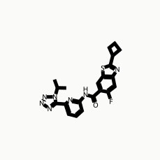 CC(C)n1nnnc1-c1cccc(NC(=O)c2cc3sc(C4CCC4)nc3cc2F)n1